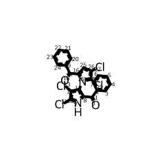 O=C(c1ccccc1)c1[nH]c(Cl)c(Cl)c1-n1c(C(=O)c2ccccc2)cc(Cl)c1Cl